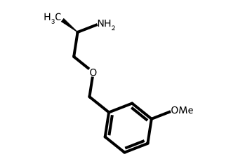 COc1cccc(COC[C@@H](C)N)c1